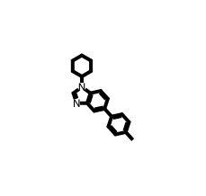 Cc1ccc(-c2ccc3c(c2)ncn3C2CCCCC2)cc1